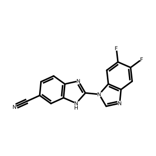 N#Cc1ccc2nc(-n3cnc4cc(F)c(F)cc43)[nH]c2c1